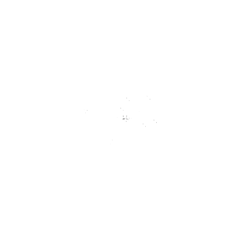 COC(C)OC.N#[C][Co]([C]#N)([C]#N)([C]#N)([C]#N)[C]#N.[Zn]